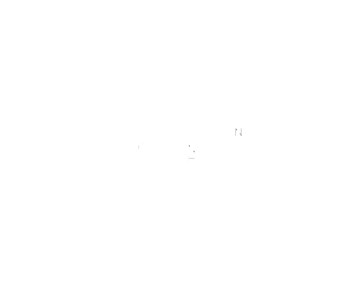 CC#CCCOCCNCCN1CCCCC1